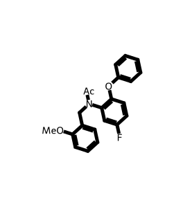 COc1ccccc1CN(C(C)=O)c1cc(F)ccc1Oc1ccccc1